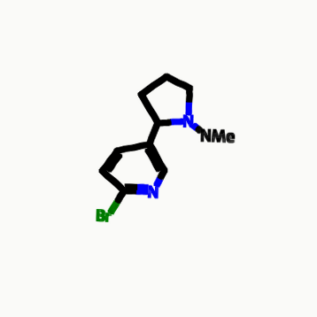 CNN1CCCC1c1ccc(Br)nc1